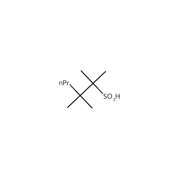 CCCC(C)(C)C(C)(C)S(=O)(=O)O